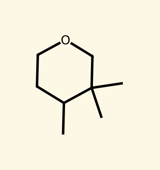 CC1CCOCC1(C)C